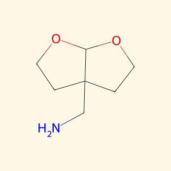 NCC12CCOC1OCC2